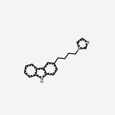 c1ccc2c(c1)[nH]c1ccc(CCCCn3ccnc3)cc12